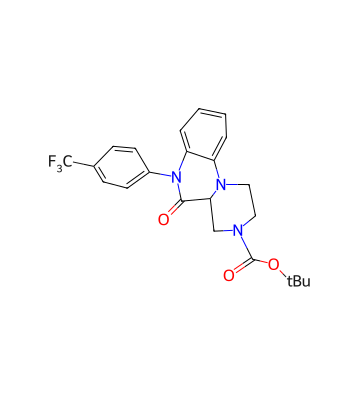 CC(C)(C)OC(=O)N1CCN2c3ccccc3N(c3ccc(C(F)(F)F)cc3)C(=O)C2C1